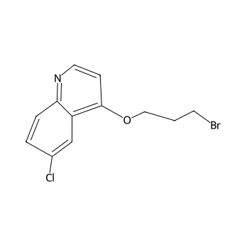 Clc1ccc2nccc(OCCCBr)c2c1